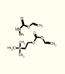 C=COC(=O)NCCC.C=COC(=O)OCC[Si](C)(C)C